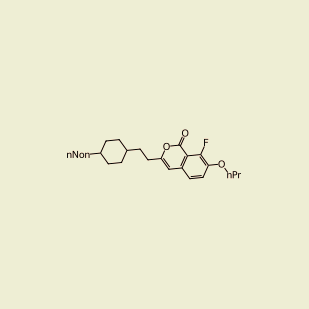 CCCCCCCCCC1CCC(CCc2cc3ccc(OCCC)c(F)c3c(=O)o2)CC1